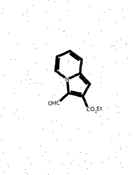 CCOC(=O)c1cc2ccccn2c1C=O